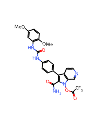 COc1ccc(OC)c(NC(=O)Nc2ccc(-c3c(C(N)=O)n(OC(=O)C(F)(F)F)c4cnccc34)cc2)c1